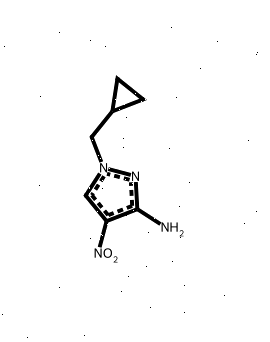 Nc1nn(CC2CC2)cc1[N+](=O)[O-]